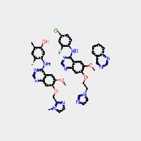 COc1cc2c(Nc3cc(O)c(C)cc3F)ncnc2cc1OCc1nccn1C.COc1cc2c(Nc3ccc(Cl)cc3F)ncnc2cc1OCCn1ccnc1.c1ccc2ncncc2c1